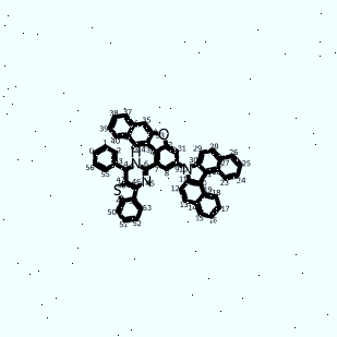 c1ccc(C2NC(c3cc(-n4c5ccc6ccccc6c5c5c6ccccc6ccc54)cc4oc5cc6ccccc6cc5c34)=Nc3c2sc2ccccc32)cc1